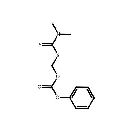 CN(C)C(=S)SCOC(=O)Oc1ccccc1